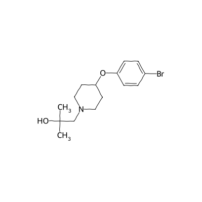 CC(C)(O)CN1CCC(Oc2ccc(Br)cc2)CC1